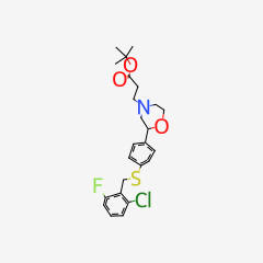 CC(C)(C)OC(=O)CCN1CCOC(c2ccc(SCc3c(F)cccc3Cl)cc2)C1